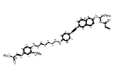 C=CC(=O)OC(CCCCC)Oc1ccc2cc(C#Cc3ccc(OCCCCCCOc4ccc(C=CC(=O)OC)cc4OC)cc3)ccc2c1